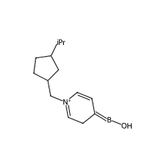 CC(C)C1CCC(C[N+]2=CC/C(=B\O)C=C2)C1